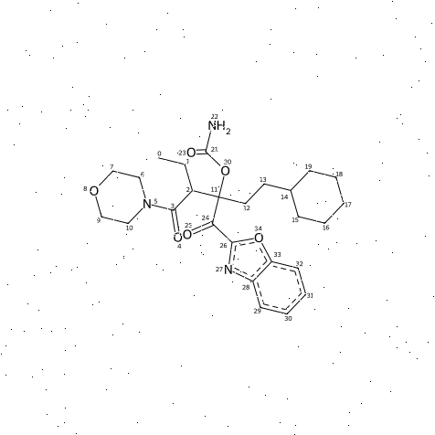 CCC(C(=O)N1CCOCC1)C(CCC1CCCCC1)(OC(N)=O)C(=O)c1nc2ccccc2o1